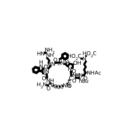 CCCC[C@H](NC(=O)[C@H](CCCCN(CC(=O)O)CC(=O)O)NC(C)=O)C(=O)N[C@H]1CCC(=O)NCCCC[C@@H](C(N)=O)NC(=O)[C@H](Cc2c[nH]c3ccccc23)NC(=O)[C@H](CCCNC(=N)N)NC(=O)[C@@H](Cc2ccccc2)NC(=O)[C@@H]2C[C@@H](O)CN2C1=O